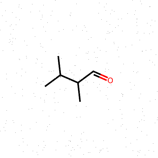 C[C](C)C(C)C=O